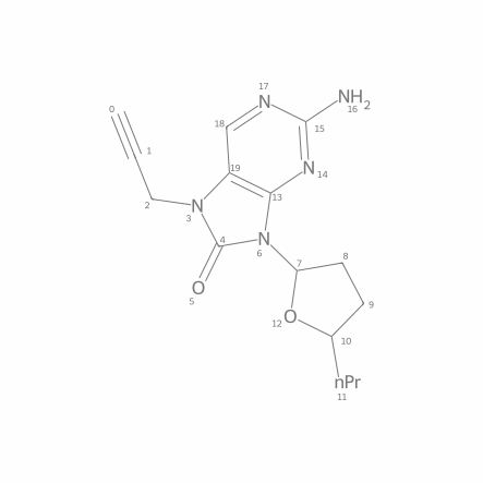 C#CCn1c(=O)n(C2CCC(CCC)O2)c2nc(N)ncc21